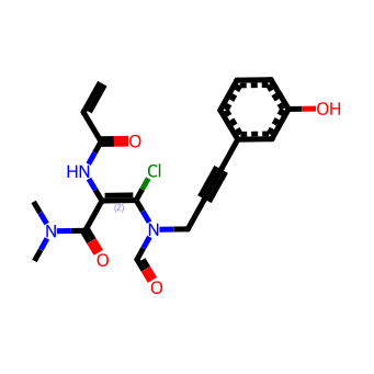 C=CC(=O)N/C(C(=O)N(C)C)=C(\Cl)N(C=O)CC#Cc1cccc(O)c1